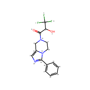 O=C(C(O)C(F)(F)F)N1CCn2c(cnc2-c2ccccc2)C1